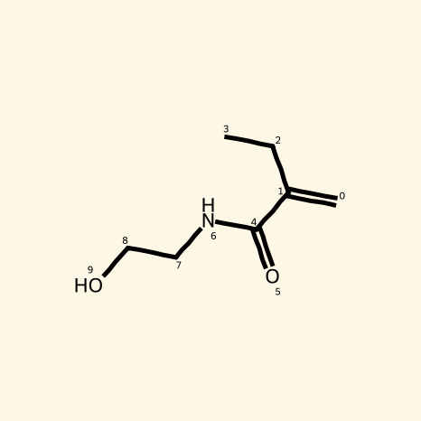 C=C(CC)C(=O)NCCO